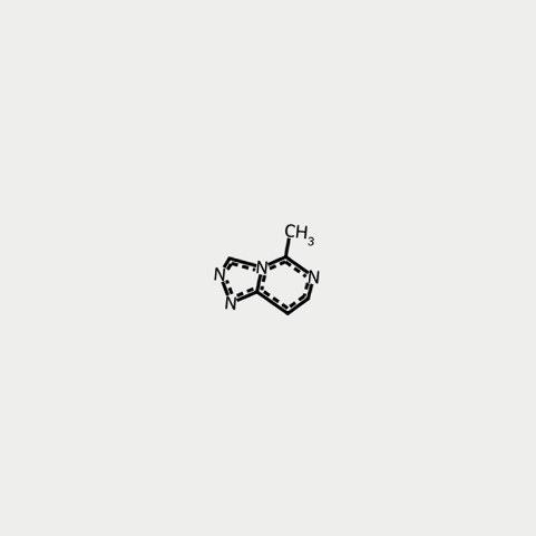 Cc1nccc2nncn12